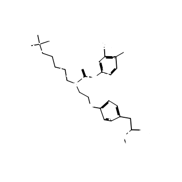 CCOC(Cc1ccc(OCCN(CCCCCC(C)(F)F)C(=O)Oc2ccc(C)c([N+](=O)[O-])c2)cc1)C(=O)O